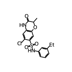 CCc1cccc(NS(=O)(=O)c2cc3c(cc2Cl)NC(=O)C(C)O3)c1